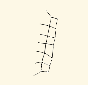 CC1CC2C3C4C5C6CC(C)C6(C)C5(C)C4(C)C3(C)C12C